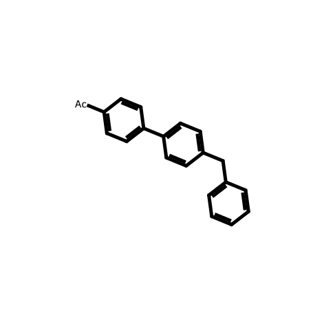 CC(=O)c1ccc(-c2ccc(Cc3ccccc3)cc2)cc1